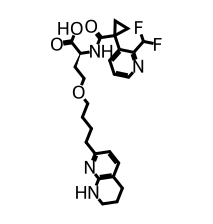 O=C(O)[C@H](CCOCCCCc1ccc2c(n1)NCCC2)NC(=O)C1(c2cccnc2C(F)F)CC1